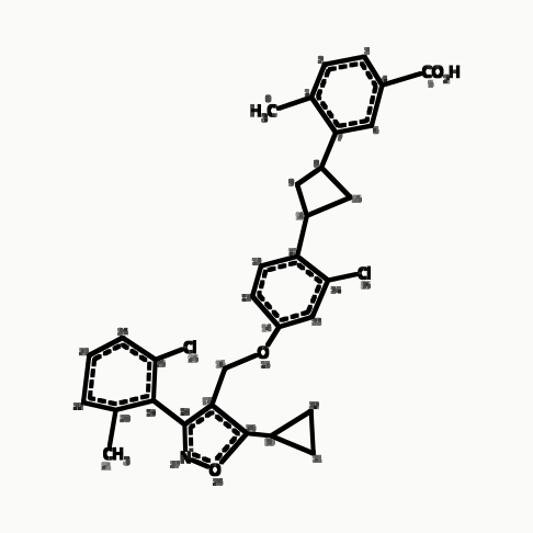 Cc1ccc(C(=O)O)cc1C1CC(c2ccc(OCc3c(-c4c(C)cccc4Cl)noc3C3CC3)cc2Cl)C1